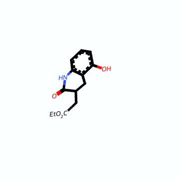 CCOC(=O)CC1Cc2c(O)cccc2NC1=O